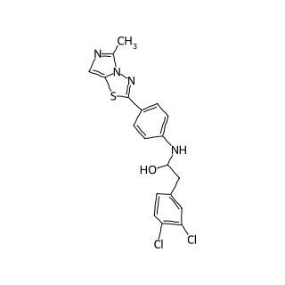 Cc1ncc2sc(-c3ccc(NC(O)Cc4ccc(Cl)c(Cl)c4)cc3)nn12